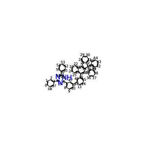 c1ccc(C2=NC(c3cccc(-c4cccc(-c5cc6c(c7ccccc57)-c5ccccc5C6(c5ccccc5)c5ccccc5)c4)c3)NC(c3ccccc3)=N2)cc1